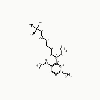 CCN(CCCSOCC(F)(F)F)c1cc(C)ccc1OC